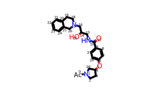 CC(=O)N1CCC(Oc2ccc(C(=O)NCC(O)CN3CCc4ccccc4C3)cc2)C1